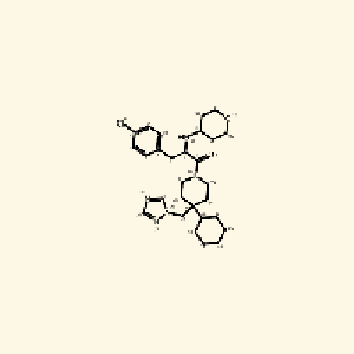 O=C([C@@H](Cc1ccc(Cl)cc1)NC1CCOCC1)N1CCC(Cn2cncn2)(C2CCCCC2)CC1